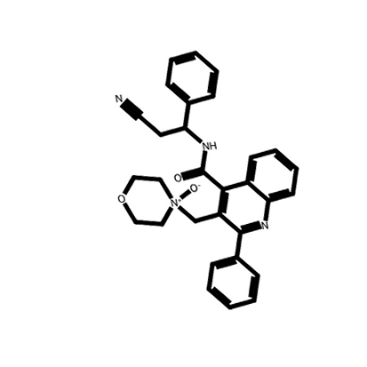 N#CCC(NC(=O)c1c(C[N+]2([O-])CCOCC2)c(-c2ccccc2)nc2ccccc12)c1ccccc1